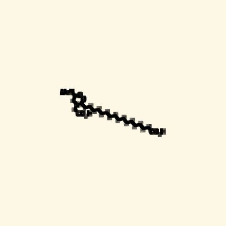 CNC(=O)CN(CC(=O)O)C(=O)CCCCCCCCCCCCCCCCC(=O)O